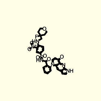 O=C(NS(=O)(=O)c1ccc(NCC2(F)CCOCC2)c([N+](=O)[O-])c1)c1ccccc1-n1ccc(=O)c2nc3[nH]ccc3cc21